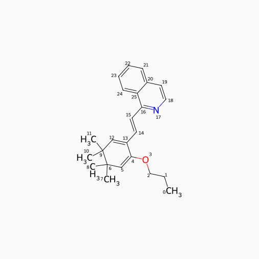 CCCOC1=CC(C)(C)C(C)(C)C=C1/C=C/c1nccc2ccccc12